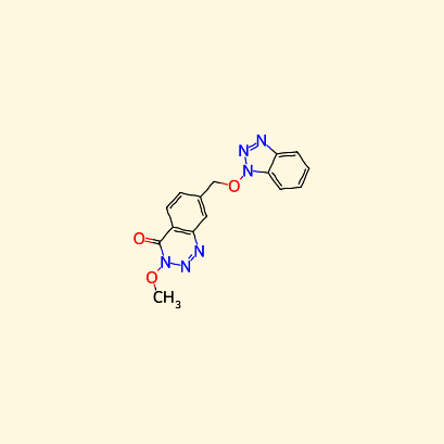 COn1nnc2cc(COn3nnc4ccccc43)ccc2c1=O